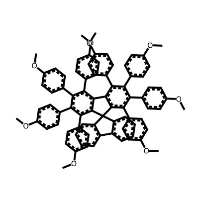 COc1ccc(-c2c(-c3ccc(OC)cc3)c(-c3ccc(OC)cc3)c3c(c2-c2ccc(OC)cc2)-c2c(-c4ccc(OC)cc4)c(-c4ccc(OC)cc4)c(-c4ccc(OC)cc4)c(-c4ccc(OC)cc4)c2C32c3ccccc3-c3ccccc32)cc1